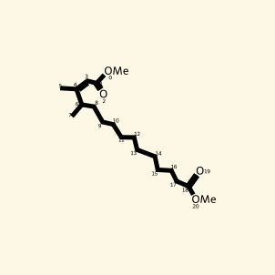 COC(=O)C=C(C)C(C)CCCCCCCCCCC(=O)OC